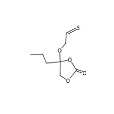 CCCC1(OCC=S)COC(=O)O1